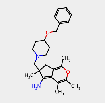 CC1=C(C)C2=C(N)C(C)(CN3CCC(OCc4ccccc4)CC3)CC2=C(C)O1